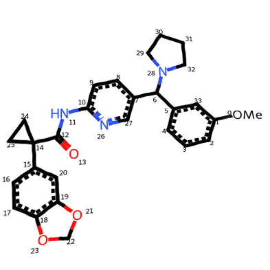 COc1cccc(C(c2ccc(NC(=O)C3(c4ccc5c(c4)OCO5)CC3)nc2)N2CCCC2)c1